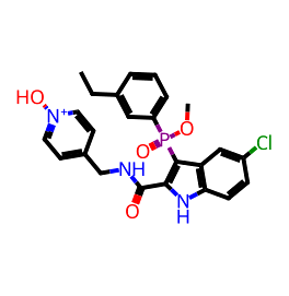 CCc1cccc(P(=O)(OC)c2c(C(=O)NCc3cc[n+](O)cc3)[nH]c3ccc(Cl)cc23)c1